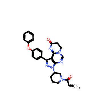 C=CC(=O)N1CCC[C@@H](n2nc(-c3ccc(Oc4ccccc4)cc3)c3c2N=CN2CCC(=O)N=C32)C1